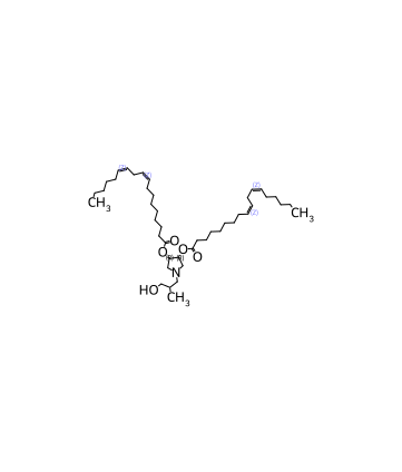 CCCCC/C=C\C/C=C\CCCCCCCC(=O)O[C@@H]1CN(CC(C)CO)C[C@H]1OC(=O)CCCCCCC/C=C\C/C=C\CCCCC